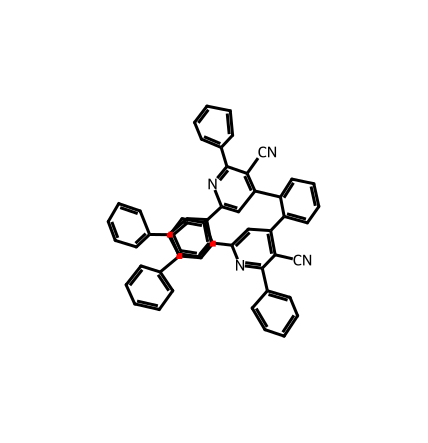 N#Cc1c(-c2ccccc2-c2cc(-c3ccc(-c4ccccc4)cc3)nc(-c3ccccc3)c2C#N)cc(-c2ccc(-c3ccccc3)cc2)nc1-c1ccccc1